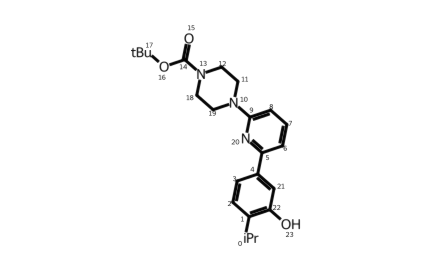 CC(C)c1ccc(-c2cccc(N3CCN(C(=O)OC(C)(C)C)CC3)n2)cc1O